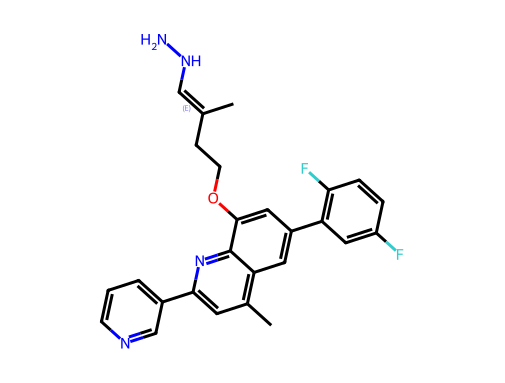 C/C(=C\NN)CCOc1cc(-c2cc(F)ccc2F)cc2c(C)cc(-c3cccnc3)nc12